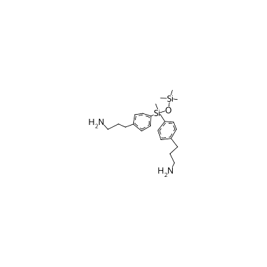 C[Si](C)(C)O[Si](C)(c1ccc(CCCN)cc1)c1ccc(CCCN)cc1